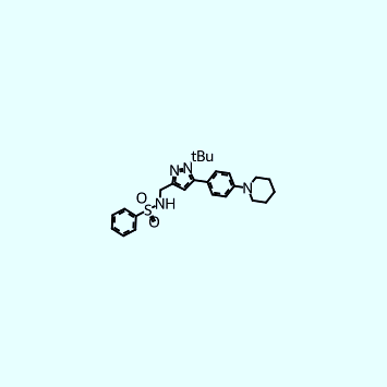 CC(C)(C)n1nc(CNS(=O)(=O)c2ccccc2)cc1-c1ccc(N2CCCCC2)cc1